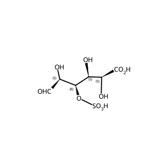 O=C[C@@H](O)[C@H](OS(=O)(=O)O)[C@@H](O)[C@H](O)C(=O)O